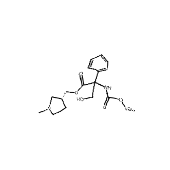 CN1CC[C@@H](COC(=O)C(CO)(NC(=O)OC(C)(C)C)c2ccccc2)C1